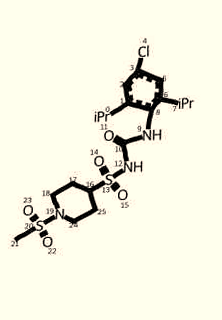 CC(C)c1cc(Cl)cc(C(C)C)c1NC(=O)NS(=O)(=O)C1CCN(S(C)(=O)=O)CC1